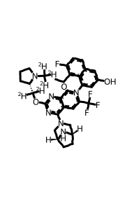 [2H]C([2H])(Oc1nc(N2C[C@H]3CC[C@@H](C2)N3)c2cc(C(F)(F)F)n(-c3cc(O)cc4ccc(F)c(CC)c34)c(=O)c2n1)[C@@H]1CCCN1C([2H])([2H])[2H]